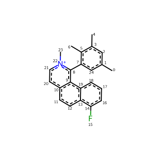 Cc1cc(C)c(C)c(-c2c3c(ccc4c(F)cccc43)cc[n+]2C)c1